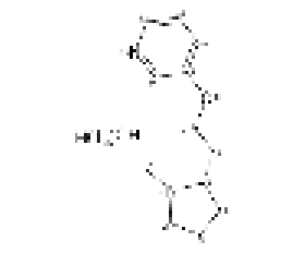 CN1CCC[C@H]1CSOc1cccnc1.Cl.Cl